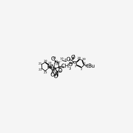 CC(C)(C)c1ccc(S(=O)(=O)OCC[C@H]2C(=O)N[C@@]3([C@@H](O)[C@@H]4C=CCCC4)C(=O)O[C@@]23C)cc1